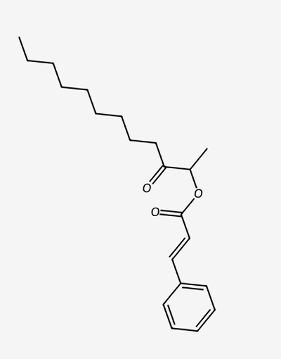 CCCCCCCCCC(=O)C(C)OC(=O)C=Cc1ccccc1